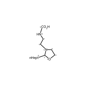 CCCCCCCC1OCCN1CCNC(=O)O